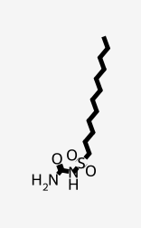 CCCCCCCCCCCCS(=O)(=O)NC(N)=O